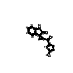 O=C(c1ccc(Cl)s1)C1CC12C(=O)Nc1ccccc12